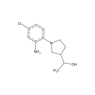 CC(O)C1CCN(c2ccc(Cl)cc2[N+](=O)[O-])C1